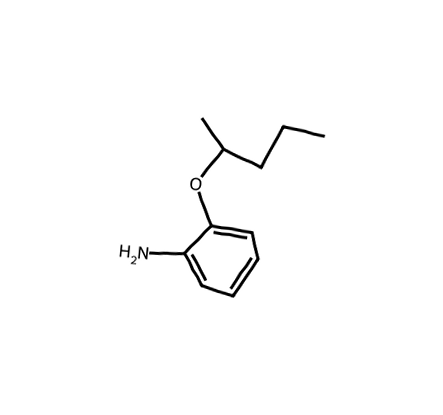 CCCC(C)Oc1ccccc1N